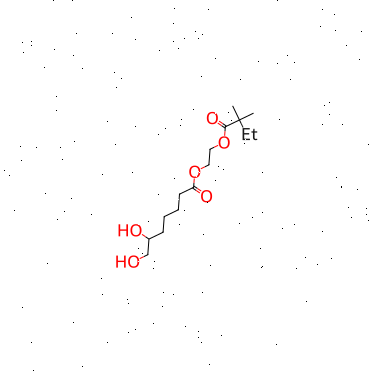 CCC(C)(C)C(=O)OCCOC(=O)CCCCC(O)CO